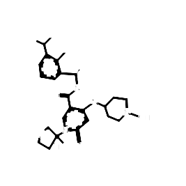 C[C@@H](NC(=O)c1cn(C2(C)CCOC2)c(=O)cc1NC1CCN(C)CC1)c1cccc(C(F)F)c1F